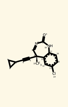 O=C1N=C[C@](C#CC2CC2)(C(F)(F)F)c2cc(Cl)ccc2N1